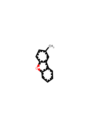 Cc1[c]cc2oc3ccccc3c2c1